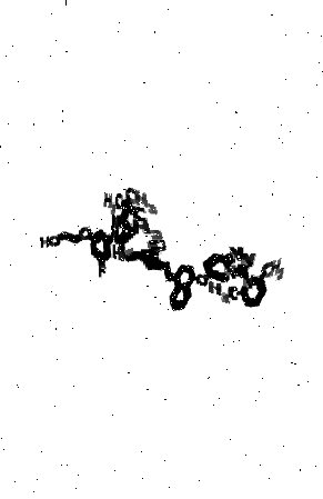 C[C@@H]1CCC[C@H](C)N1c1nnc2ccc(O[C@@H]3CCC(CCCC(=O)Nc4cc(C(C)(C)C)nn4-c4cc(F)cc(OCCO)c4)c4ccccc43)cn12